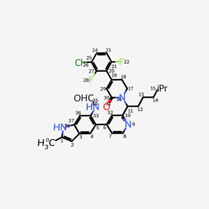 Cc1cc2cc(-c3ccnc(C(CCCC(C)C)N4CCC(c5c(F)ccc(Cl)c5F)=CC4=O)c3)c(NC=O)cc2[nH]1